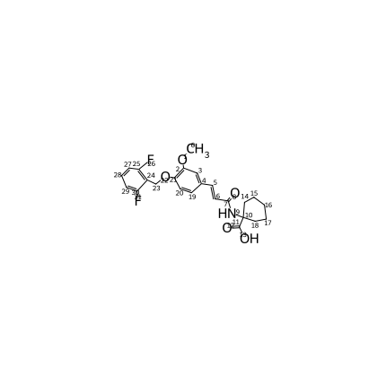 COc1cc(C=CC(=O)NC2(C(=O)O)CCCCC2)ccc1OCc1c(F)cccc1F